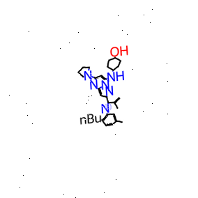 C=C(C)/C(=N\c1cc(C)ccc1CCCC)c1cc2nc(N3CCCC3)cc(N[C@H]3CC[C@H](O)CC3)n2n1